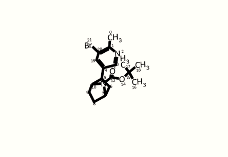 Cc1ncc(C2CC3CCC2N3C(=O)OC(C)(C)C)cc1Br